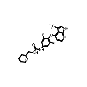 O=C(NCC1CCCCO1)Nc1cc(F)c(Oc2ccnc3[nH]cc(C(F)(F)F)c23)c(F)c1